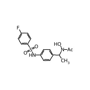 CC(=O)N(O)C(C)c1ccc(NS(=O)(=O)c2ccc(F)cc2)cc1